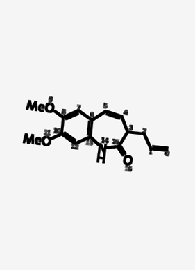 C=CCC1C=Cc2cc(OC)c(OC)cc2NC1=O